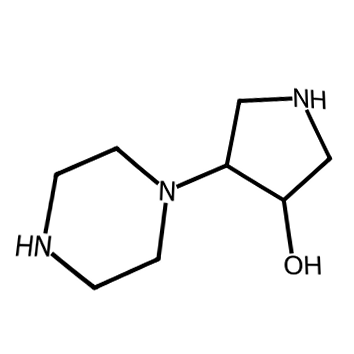 OC1CNCC1N1CCNCC1